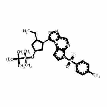 CC[C@@H]1C[C@H](O[Si](C)(C)C(C)(C)C)C[C@@H]1c1nnc2cnc3c(ccn3S(=O)(=O)c3ccc(C)cc3)n12